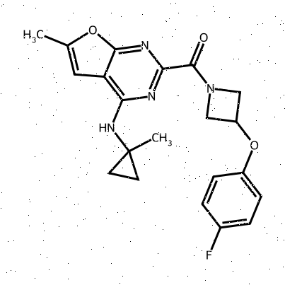 Cc1cc2c(NC3(C)CC3)nc(C(=O)N3CC(Oc4ccc(F)cc4)C3)nc2o1